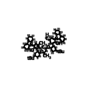 Cc1cc(-c2cc(C(C)(C)C)ccc2OC(C)C[C@H](C)Oc2ccc(C(C)(C)C)cc2-c2cc(C)cc(-n3c4ccccc4c4ccccc43)c2O)c(O)c(-n2c3ccccc3c3ccccc32)c1